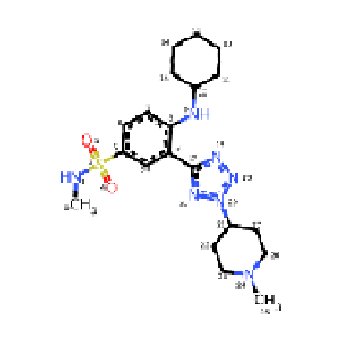 CNS(=O)(=O)c1ccc(NC2CCCCC2)c(-c2nnn(C3CCN(C)CC3)n2)c1